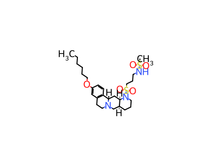 CCCCCCOc1ccc2c(c1)CCN1C[C@@H]3CCCN(S(=O)(=O)CCCNS(C)(=O)=O)[C@@H]3C[C@@H]21